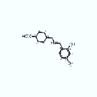 O=C(O)C1CCC(CNCc2ccc(O)cc2O)CC1